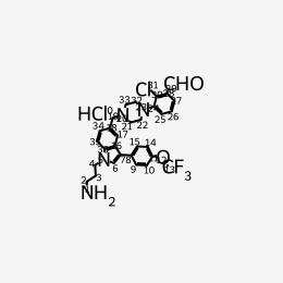 Cl.NCCCn1cc(-c2ccc(OC(F)(F)F)cc2)c2cc(CN3CCN(c4cccc(C=O)c4Cl)CC3)ccc21